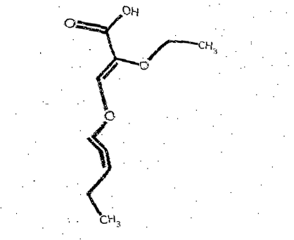 CCC=COC=C(OCC)C(=O)O